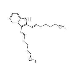 CCCCC/C=C/c1[nH]c2ccccc2c1/C=C/CCCCC